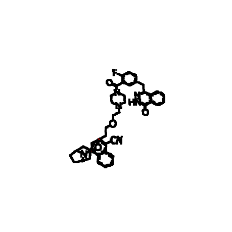 N#Cc1ccc(N2C3CCC2CC(OCCCOCCN2CCN(C(=O)c4cc(Cc5n[nH]c(=O)c6ccccc56)ccc4F)CC2)C3)c2ccccc12